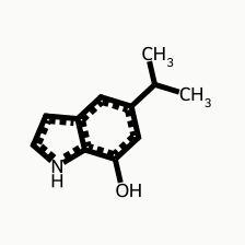 CC(C)c1cc(O)c2[nH]ccc2c1